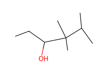 CCC(O)C(C)(C)C(C)C